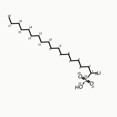 [Li][CH](CCCCCCCCCCCCCCCCC)S(=O)(=O)O